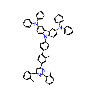 Cc1cc(-c2cc(-c3ccccc3C)nc(-c3ccccc3C)n2)ccc1-c1ccc(-n2c3ccc(N(c4ccccc4)c4ccccc4)cc3c3cc(N(c4ccccc4)c4ccccc4)ccc32)cc1